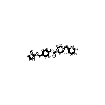 Cn1ccnc1SCc1ccc(OC(=O)N2CCN(Cc3ccccn3)CC2)cc1